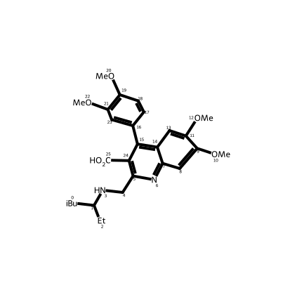 CCC(C)C(CC)NCc1nc2cc(OC)c(OC)cc2c(-c2ccc(OC)c(OC)c2)c1C(=O)O